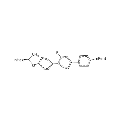 CCCCCC[C@@H](C)Oc1ccc(-c2ccc(-c3ccc(CCCCC)cc3)cc2F)cc1